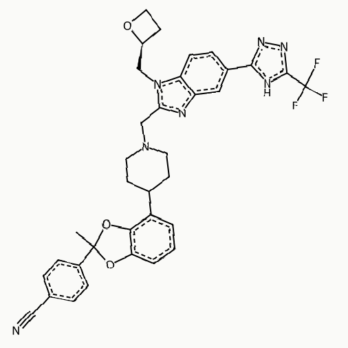 CC1(c2ccc(C#N)cc2)Oc2cccc(C3CCN(Cc4nc5cc(-c6nnc(C(F)(F)F)[nH]6)ccc5n4C[C@@H]4CCO4)CC3)c2O1